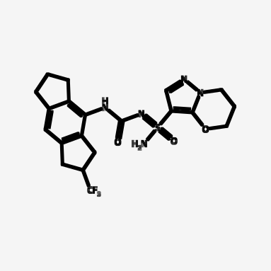 NS(=O)(=NC(=O)Nc1c2c(cc3c1CC(C(F)(F)F)C3)CCC2)c1cnn2c1OCCC2